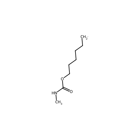 [CH2]CCCCCOC(=O)NC